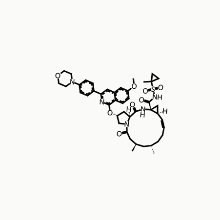 COc1ccc2c(O[C@@H]3C[C@H]4C(=O)N[C@]5(C(=O)NS(=O)(=O)C6(C)CC6)C[C@H]5/C=C\CC[C@H](C)C[C@@H](C)CC(=O)N4C3)nc(-c3ccc(N4CCOCC4)cc3)cc2c1